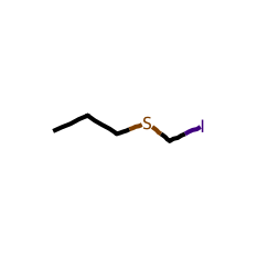 CCCSCI